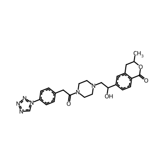 CC1Cc2cc(C(O)CN3CCN(C(=O)Cc4ccc(-n5cnnn5)cc4)CC3)ccc2C(=O)O1